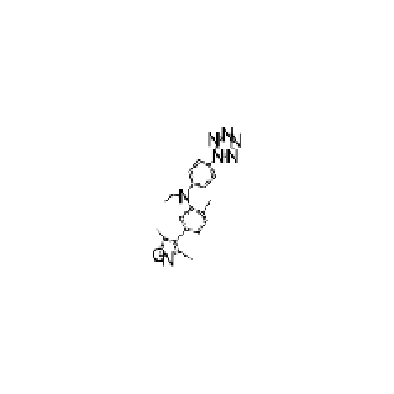 CCN(c1ccc(-n2nnnn2)cc1)c1cc(-c2c(C)noc2C)ccc1C